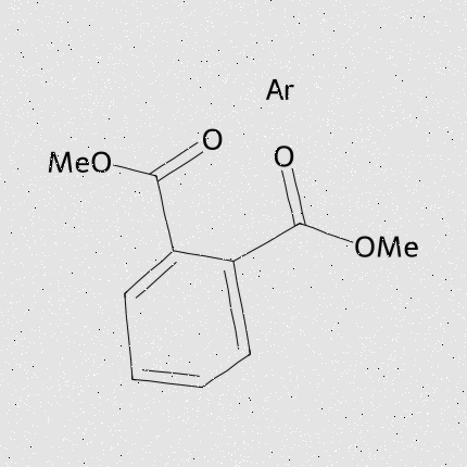 COC(=O)c1ccccc1C(=O)OC.[Ar]